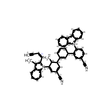 C#C/C=C\c1c(C)c2ccccc2n1C1=CC(C#N)=CC(C2=CC(c3cc(C#N)ccc3-n3c4ccccc4c4ccccc43)CC=C2)C1C